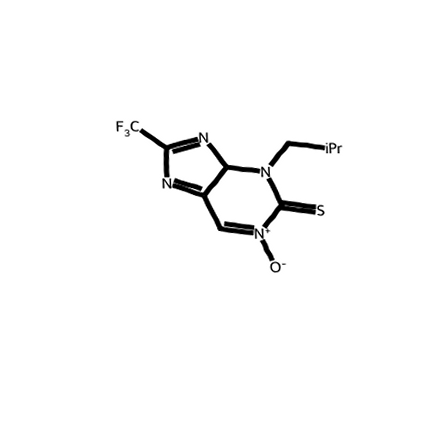 CC(C)CN1C(=S)[N+]([O-])=CC2=NC(C(F)(F)F)=NC21